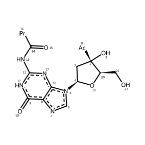 CC(=O)[C@]1(O)C[C@H](n2cnc3c(=O)[nH]c(NC(=O)C(C)C)nc32)O[C@@H]1CO